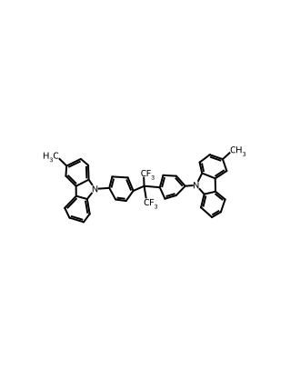 Cc1ccc2c(c1)c1ccccc1n2-c1ccc(C(c2ccc(-n3c4ccccc4c4cc(C)ccc43)cc2)(C(F)(F)F)C(F)(F)F)cc1